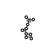 c1ccc(-c2nc(-c3ccccc3)nc(-c3ccc(-c4ccc5c(c4)c4ccccc4n5-c4cccc(-c5cccc6c7ccccc7n(-c7ccccc7)c56)c4)cc3)n2)cc1